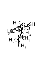 C=C(/C=C/C)C1C[C@@H]([C@H](C)NC(OC(=O)C(=O)CS)/C(=C\OCOC)CC)N1C